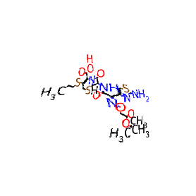 CCCSC1=C(C(=O)O)N2C(=O)C(NC(=O)/C(=N/OCC(=O)OC(C)(C)C)c3csc(N)n3)[C@H]2SC1